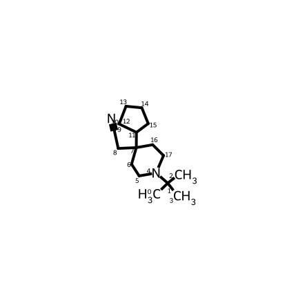 CC(C)(C)N1CCC(CC#N)(C2CCCC2)CC1